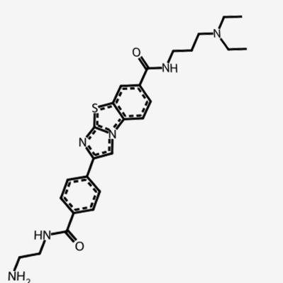 CCN(CC)CCCNC(=O)c1ccc2c(c1)sc1nc(-c3ccc(C(=O)NCCN)cc3)cn12